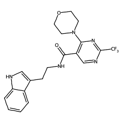 O=C(NCCc1c[nH]c2ccccc12)c1cnc(C(F)(F)F)nc1N1CCOCC1